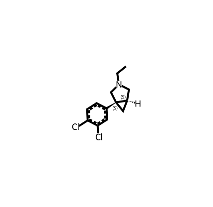 CCN1C[C@H]2C[C@]2(c2ccc(Cl)c(Cl)c2)C1